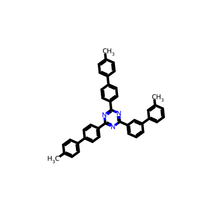 Cc1ccc(-c2ccc(-c3nc(-c4ccc(-c5ccc(C)cc5)cc4)nc(-c4cccc(-c5cccc(C)c5)c4)n3)cc2)cc1